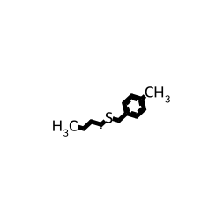 CCC[CH]SCc1ccc(C)cc1